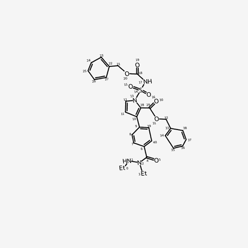 CCNN(CC)C(=O)c1ccc(-c2ccn(S(=O)(=O)NC(=O)OCc3ccccc3)c2C(=O)OCc2ccccc2)cc1